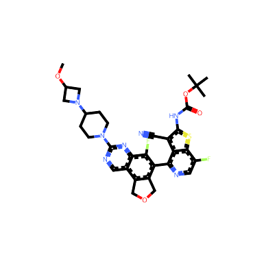 COC1CN(C2CCN(c3ncc4c5c(c(-c6ncc(F)c7sc(NC(=O)OC(C)(C)C)c(C#N)c67)c(F)c4n3)COC5)CC2)C1